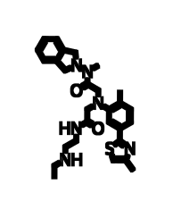 CCNCCNC(=O)CN(CC(=O)N(C)N1Cc2ccccc2C1)c1cc(-c2nc(C)cs2)ccc1C